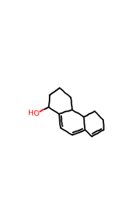 OC1CCCC2C1=CC=C1C=CCCC12